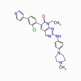 CCn1c(=O)c(-c2ccc(-c3ccncc3)cc2Cl)cc2cnc(Nc3ccc(N4CCN(C)CC4)cc3)nc21